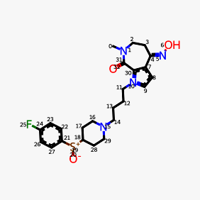 CN1CCC(=NO)c2ccn(CCCCN3CCC([S+]([O-])c4ccc(F)cc4)CC3)c2C1=O